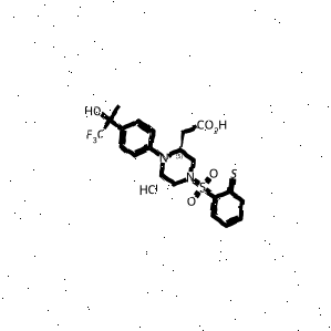 CC(O)(c1ccc(N2CCN(S(=O)(=O)C3=CC=CCC3=S)C[C@@H]2CC(=O)O)cc1)C(F)(F)F.Cl